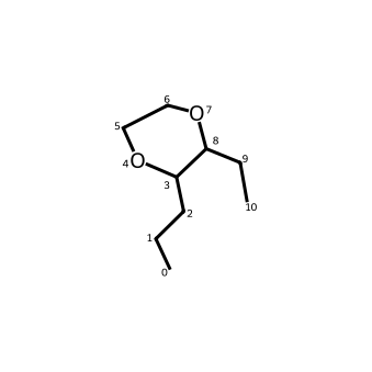 CCCC1OCCOC1CC